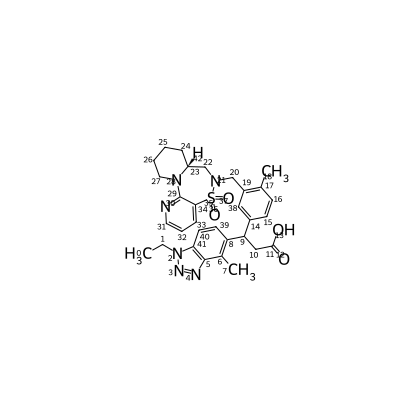 CCn1nnc2c(C)c(C(CC(=O)O)c3ccc(C)c(CN4C[C@H]5CCCCN5c5ncccc5S4(=O)=O)c3)ccc21